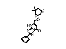 C[C@@H]1C[C@@H](OCc2cc(=O)n3nc(-c4ccccc4)nc3[nH]2)CC(C)(C)C1